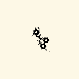 Cc1ccc(S(=O)(=O)NC(=O)c2cc3c(C)cc(C)cc3o2)c(-c2ccccc2)c1